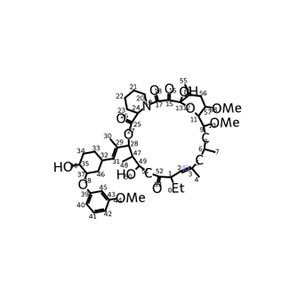 CCC1/C=C(\C)CC(C)CC(OC)C2OC(O)(C(=O)C(=O)N3CCCCC3C(=O)OC(C(C)=CC3CCC(O)C(Oc4cccc(OC)c4)C3)C(C)C(O)CC1=O)C(C)CC2OC